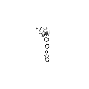 CC(C)[C@@H](NS(=O)(=O)c1ccc(-c2ccc(COc3nc4ccccc4s3)cc2)cc1)C(=O)O